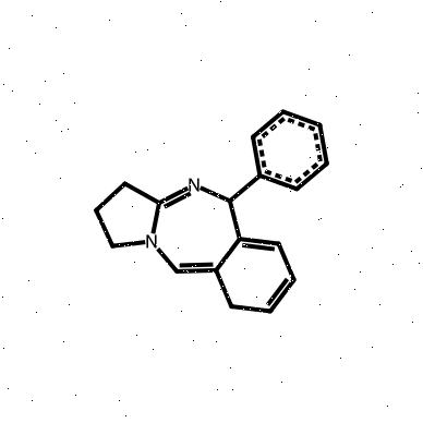 C1=CCC2=CN3CCCC3=NC(c3ccccc3)C2=C1